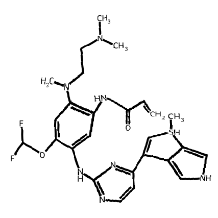 C=CC(=O)Nc1cc(Nc2nccc(C3=C[SH](C)c4c[nH]cc43)n2)c(OC(F)F)cc1N(C)CCN(C)C